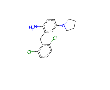 Nc1ccc(N2CCCC2)cc1Cc1c(Cl)cccc1Cl